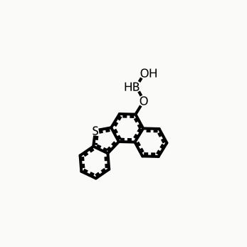 OBOc1cc2sc3ccccc3c2c2ccccc12